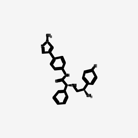 C[C@H](CN[C@@H](C(=O)Nc1ccc(-c2cnn(C)c2)cc1)c1ccccc1)c1ccc(Cl)cc1